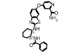 NC(=O)c1cc(Oc2ccc3nc(N[C@H]4CCCC[C@H]4NC(=O)c4ccccc4)sc3c2)ccn1